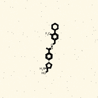 C/C(=N\OCc1ccc(C2CCCCC2)c(C(F)(F)F)c1)c1ccc([C@@H]2CC[C@](N)(CO)C2)cc1